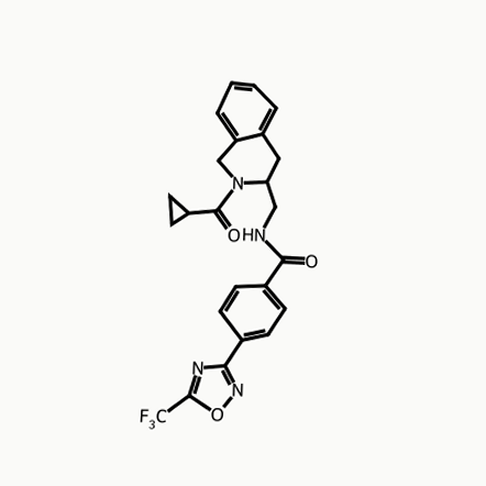 O=C(NCC1Cc2ccccc2CN1C(=O)C1CC1)c1ccc(-c2noc(C(F)(F)F)n2)cc1